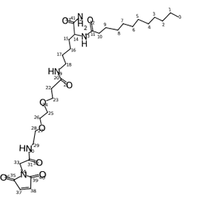 CCCCCCCCCCCC(=O)NC(CCCCNC(=O)CCOCCOCCNC(=O)CN1C(=O)C=CC1=O)C(N)=O